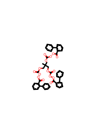 CC(COC(=O)OOC(=O)c1ccccc1-c1ccccc1)(COC(=O)OOC(=O)c1ccccc1-c1ccccc1)COC(=O)OOC(=O)c1ccccc1-c1ccccc1